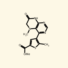 COC(=O)c1cc(-c2ncnc3c2N(C)CC(=O)N3)c(C)s1